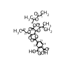 C=CC(=O)OC(C)COC(=O)C(OC(=O)C(=C)C)C(OC(=O)c1ccc(C(=O)O)c(C(=O)O)c1)C(=O)OCCC